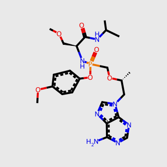 COC[C@H](NP(=O)(CO[C@H](C)Cn1cnc2c(N)ncnc21)Oc1ccc(OC)cc1)C(=O)NC(C)C